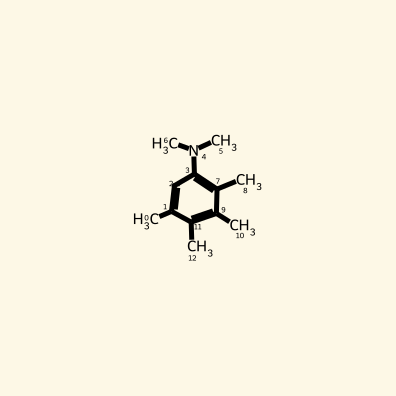 Cc1[c]c(N(C)C)c(C)c(C)c1C